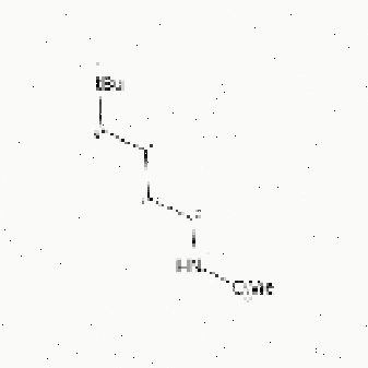 CONCCCCC(C)(C)C